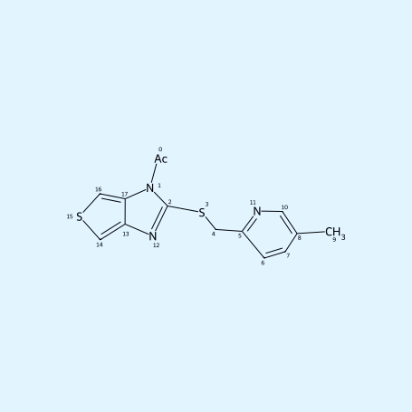 CC(=O)n1c(SCc2ccc(C)cn2)nc2cscc21